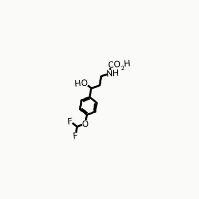 O=C(O)NCCC(O)c1ccc(OC(F)F)cc1